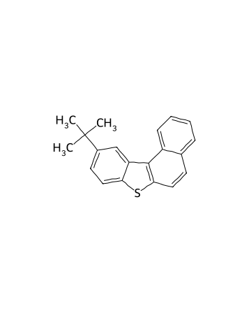 CC(C)(C)c1ccc2sc3ccc4ccccc4c3c2c1